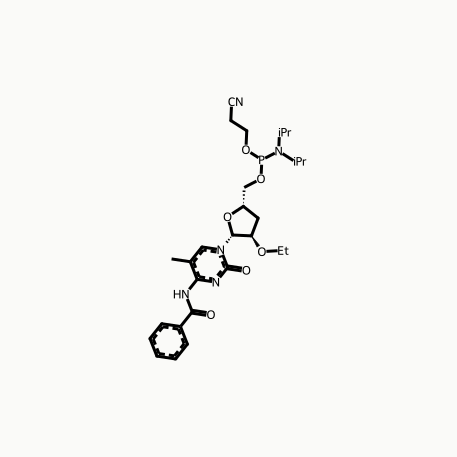 CCO[C@@H]1C[C@@H](COP(OCCC#N)N(C(C)C)C(C)C)O[C@H]1n1cc(C)c(NC(=O)c2ccccc2)nc1=O